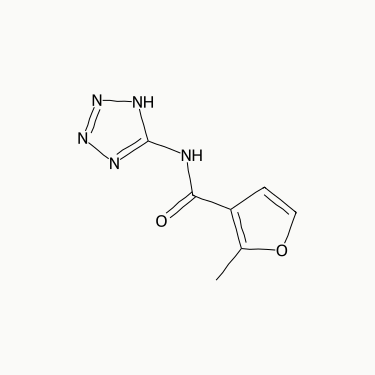 Cc1occc1C(=O)Nc1nnn[nH]1